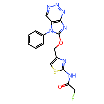 O=C(CF)Nc1nc(COc2nc3nnncc3n2-c2ccccc2)cs1